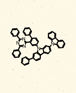 c1ccc(-c2ccc3c4ccc(-n5c6ccccc6c6ccccc65)cc4n(-c4ccc(-c5ccccc5)c(-c5nc(-c6ccccc6)nc(-c6ccccc6)n5)c4)c3c2)cc1